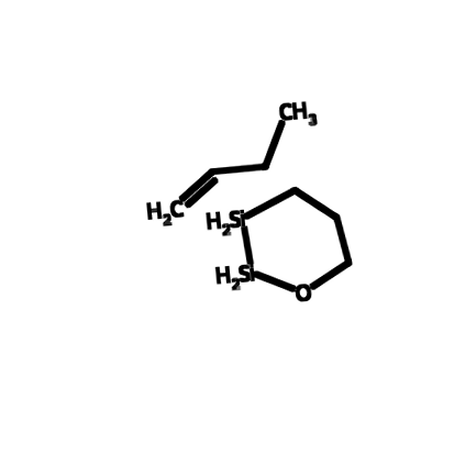 C1CO[SiH2][SiH2]C1.C=CCC